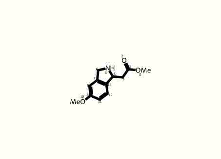 COC(=O)CC1NCc2cc(OC)ccc21